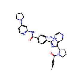 CC#CC(=O)N1CCCC1C1=C2C=NC=C[N+]2(N)C(c2ccc(C(=O)Nc3cc(N4CCCC4)ccn3)cc2)=N1